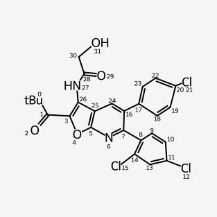 CC(C)(C)C(=O)c1oc2nc(-c3ccc(Cl)cc3Cl)c(-c3ccc(Cl)cc3)cc2c1NC(=O)CO